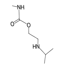 CNC(=O)OCCNC(C)C